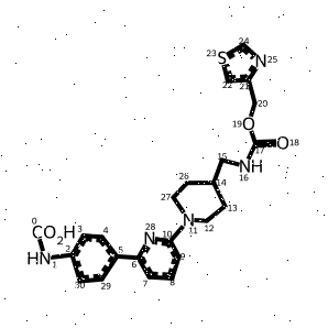 O=C(O)Nc1ccc(-c2cccc(N3CCC(CNC(=O)OCc4cscn4)CC3)n2)cc1